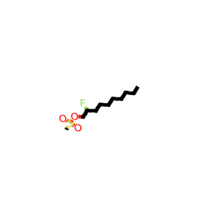 CCCCCCCCC(F)COS(C)(=O)=O